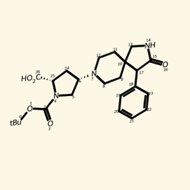 CC(C)(C)OC(=O)N1C[C@@H](N2CCC3(CC2)CNC(=O)C3c2ccccc2)C[C@H]1C(=O)O